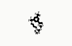 CCCCn1nnnc1Sc1nc(-c2cc(C(F)(F)F)cc(C(F)(F)F)c2)cs1